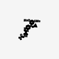 COc1cc(OC)cc(N(CC2CC2)c2ccc3ncc(-c4cnn(CC(=O)N(C)C)c4)nc3c2)c1